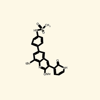 COc1nc2c(C(C)(C)C)cc(-c3ccc(NS(C)(=O)=O)cc3)cc2cc1-c1ccc[nH]c1=O